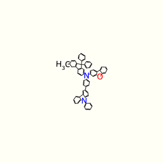 CC1C=CC2=C(C1)c1ccc(N(c3ccc(-c4ccc5c(c4)c4ccccc4n5-c4ccccc4)cc3)c3ccc4c(c3)oc3ccccc34)cc1C2(c1ccccc1)c1ccccc1